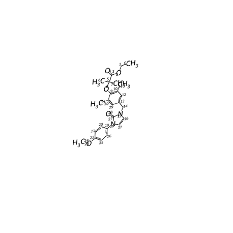 CCOC(=O)C(C)(C)Oc1c(C)cc(Cn2ccn(-c3ccc(OC)cc3)c2=O)cc1C